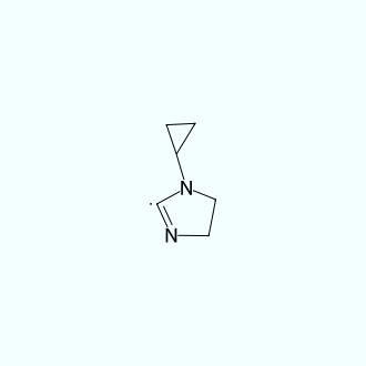 [C]1=NCCN1C1CC1